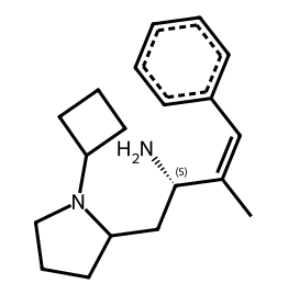 CC(=Cc1ccccc1)[C@@H](N)CC1CCCN1C1CCC1